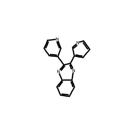 c1cncc(-c2nc3ccccc3nc2-c2cccnc2)c1